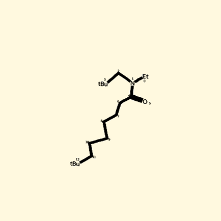 CCN(CC(C)(C)C)C(=O)CCCCCCC(C)(C)C